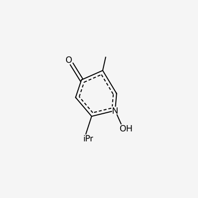 Cc1cn(O)c(C(C)C)cc1=O